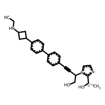 C[C@H](O)c1nccn1C(C#Cc1ccc(-c2ccc(C3CC(NCC#N)C3)cc2)cc1)CO